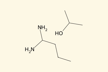 CC(C)O.CCCC(N)N